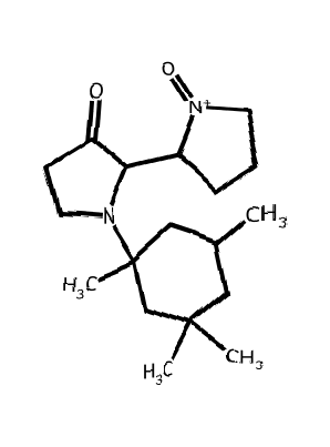 CC1CC(C)(C)CC(C)(N2CCC(=O)C2C2CCC[N+]2=O)C1